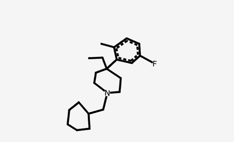 CCC1(c2cc(F)ccc2C)CCN(CC2CCCCC2)CC1